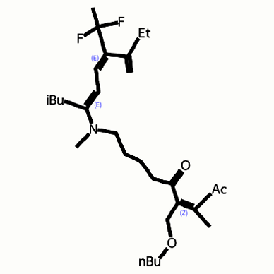 C=C(CC)/C(=C\C=C(/C(C)CC)N(C)CCCCC(=O)/C(COCCCC)=C(/C)C(C)=O)C(C)(F)F